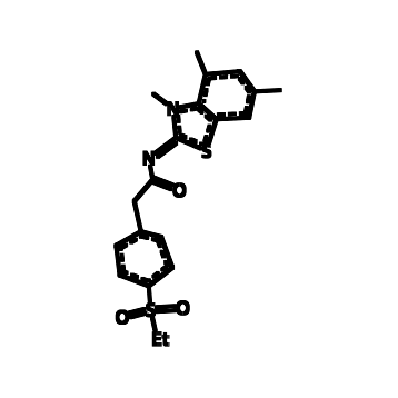 CCS(=O)(=O)c1ccc(CC(=O)/N=c2\sc3cc(C)cc(C)c3n2C)cc1